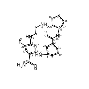 NCCNc1nc(Nc2cccc(C(=O)Nc3ccccc3)c2)c(C(N)=O)cc1F